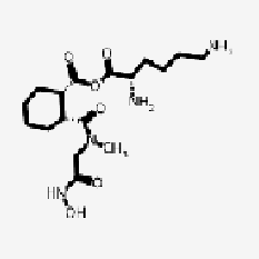 CN(CC(=O)NO)C(=O)[C@@H]1CCCC[C@@H]1C(=O)OC(=O)[C@@H](N)CCCCN